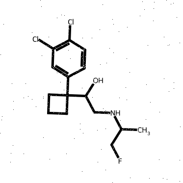 CC(CF)NCC(O)C1(c2ccc(Cl)c(Cl)c2)CCC1